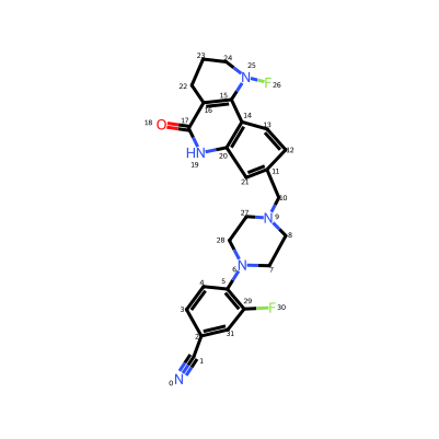 N#Cc1ccc(N2CCN(Cc3ccc4c5c(c(=O)[nH]c4c3)CCCN5F)CC2)c(F)c1